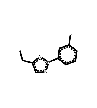 [CH2]c1cccc(-n2ncc(CC)n2)c1